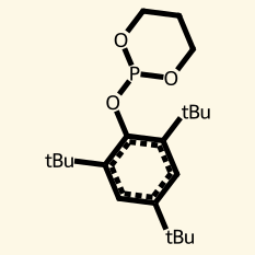 CC(C)(C)c1cc(C(C)(C)C)c(OP2OCCCO2)c(C(C)(C)C)c1